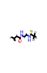 CC(C)CC(=O)NCCNC(=S)C(C)(C)C